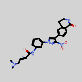 CN(C)C/C=C/C(=O)Nc1cccc(-n2cc(-c3ccc4c(c3)CCNC4=O)c([N+](=O)[O-])n2)c1